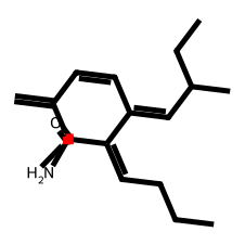 C=C(\C=C/C(=C\C(C)CC)C(=C\CCC)/C(N)=O)OC